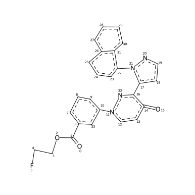 O=C(OCCF)c1cccc(-n2ccc(=O)c(-c3ccnn3-c3cccc4ccccc34)n2)c1